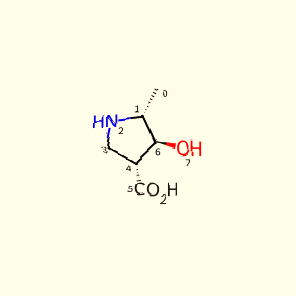 C[C@H]1NC[C@@H](C(=O)O)[C@@H]1O